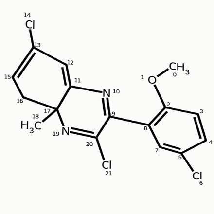 COc1ccc(Cl)cc1C1=NC2=CC(Cl)=CCC2(C)N=C1Cl